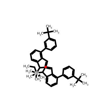 [CH2]=[Hf]([CH3])([CH3])([CH3])([CH2]C)([CH]1C=Cc2c(-c3cccc(C(C)(C)C)c3)cccc21)[CH]1C=Cc2c(-c3cccc(C(C)(C)C)c3)cccc21